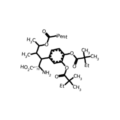 CCCC(C)C(=O)OC(C)C(C)C(c1ccc(OC(=O)C(C)(C)CC)c(OC(=O)C(C)(C)CC)c1)[C@H](N)C(=O)O